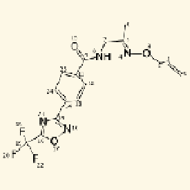 C=CCON=C(C)CNC(=O)c1ccc(-c2noc(C(F)(F)F)n2)cc1